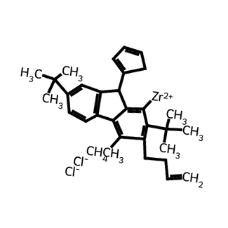 C.C=CCCc1c(C)c2c([c]([Zr+2])c1C(C)(C)C)C(C1=CC=CC1)c1cc(C(C)(C)C)ccc1-2.[Cl-].[Cl-]